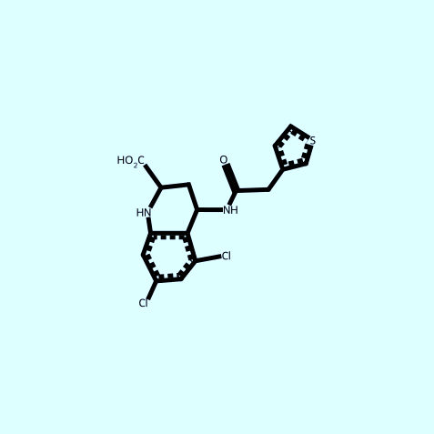 O=C(Cc1ccsc1)NC1CC(C(=O)O)Nc2cc(Cl)cc(Cl)c21